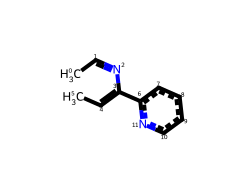 C/C=N\C(=C/C)c1ccccn1